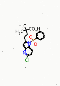 CC(C)(CCc1cc2nc(Cl)ccc2n1S(=O)(=O)c1ccccc1)C(=O)O